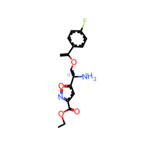 C=C(O/C=C(\N)c1cc(C(=O)OCC)no1)c1ccc(F)cc1